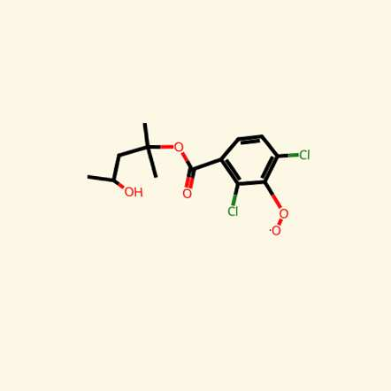 CC(O)CC(C)(C)OC(=O)c1ccc(Cl)c(O[O])c1Cl